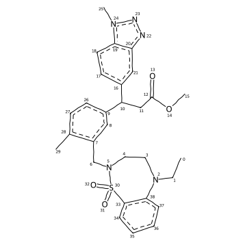 CCN1CCN(Cc2cc(C(CC(=O)OC)c3ccc4c(c3)nnn4C)ccc2C)S(=O)(=O)c2ccccc21